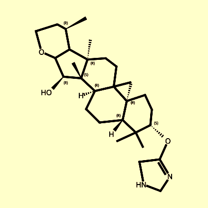 C[C@@H]1CCOC2C1[C@@]1(C)CCC34C[C@@]35CC[C@H](OC3=NCNC3)C(C)(C)[C@@H]5CC[C@H]4[C@]1(C)[C@H]2O